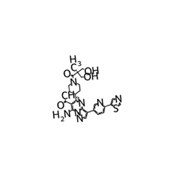 CC(=O)c1c(C2CCN(C(=O)C(C)(CO)CO)CC2)nc2c(-c3ccc(-c4cncs4)nc3)cnn2c1N